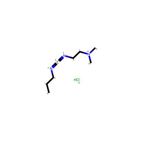 CCCN=C=NCCN(C)C.Cl